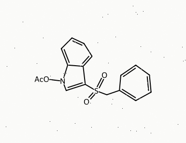 CC(=O)On1cc(S(=O)(=O)Cc2ccccc2)c2ccccc21